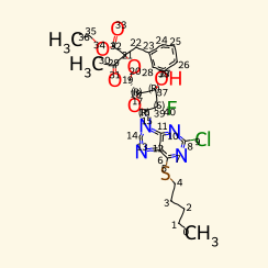 CCCCCSc1nc(Cl)nc2c1ncn2[C@@H]1O[C@H](COC(Cc2ccccc2)(C(C)=O)C(=O)OCC)[C@@H](O)[C@@H]1F